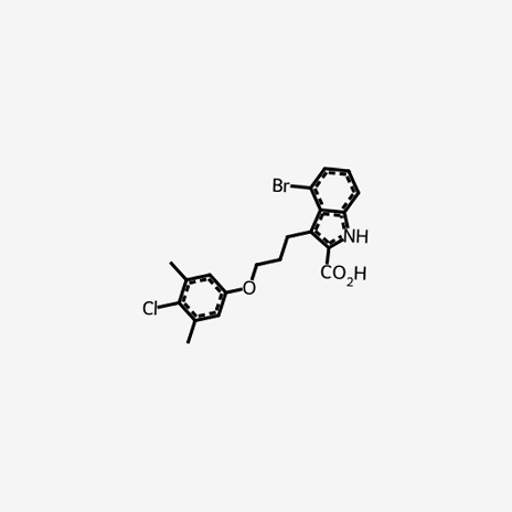 Cc1cc(OCCCc2c(C(=O)O)[nH]c3cccc(Br)c23)cc(C)c1Cl